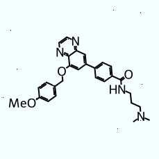 COc1ccc(COc2cc(-c3ccc(C(=O)NCCCN(C)C)cc3)cc3nccnc23)cc1